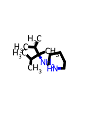 C1CCNCC1.CC(C)C(C)(N)C(C)C